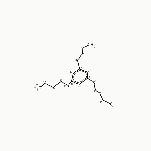 [CH2]CCCc1cc(SCCCC)cc(SCCCC)c1